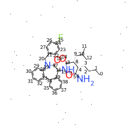 CCCC[C@H](C(N)=O)[C@@H](CC(C)C)C(=O)NC1C(=O)N(Cc2ccc(F)cc2)c2ccccc2-c2ccccc21